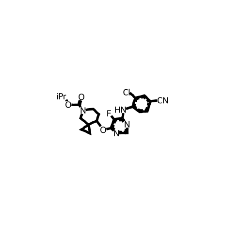 CC(C)OC(=O)N1CCC(Oc2ncnc(Nc3ccc(C#N)cc3Cl)c2F)C2(CC2)C1